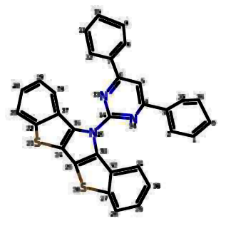 c1ccc(-c2cc(-c3ccccc3)nc(-n3c4c5ccccc5sc4c4sc5ccccc5c43)n2)cc1